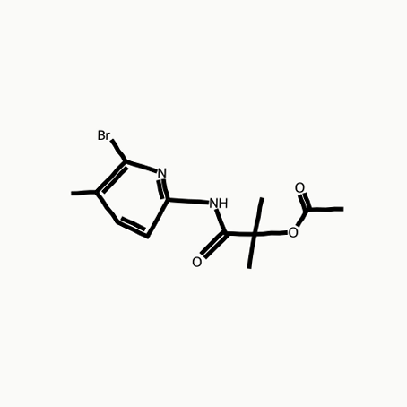 CC(=O)OC(C)(C)C(=O)Nc1ccc(C)c(Br)n1